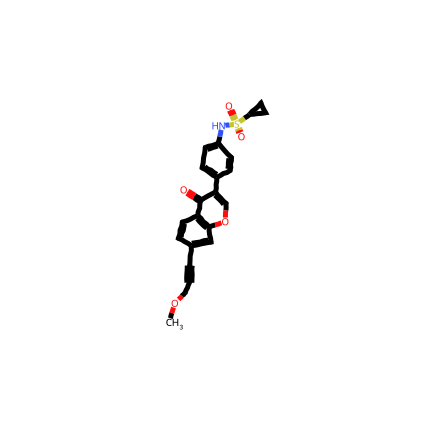 COCC#Cc1ccc2c(=O)c(-c3ccc(NS(=O)(=O)C4CC4)cc3)coc2c1